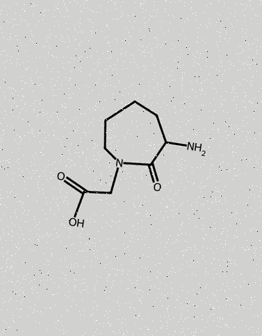 NC1CCCCN(CC(=O)O)C1=O